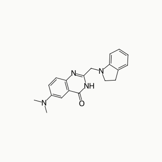 CN(C)c1ccc2nc(CN3CCc4ccccc43)[nH]c(=O)c2c1